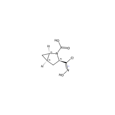 O=C(O)N1[C@@H](/C(Cl)=N\O)C[C@H]2C[C@H]21